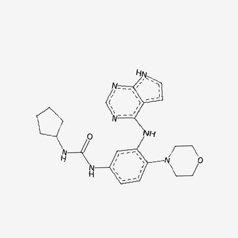 O=C(Nc1ccc(N2CCOCC2)c(Nc2ncnc3[nH]ccc23)c1)NC1CCCC1